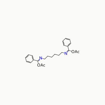 CC(=O)OC(=NCCCCCCN=C(OC(C)=O)c1ccccc1)c1ccccc1